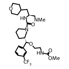 CNC[C@H](CC1CCOCC1)NC(=O)N1CCC[C@@H](C(OCCNC(=O)OC)c2cccc(C(F)(F)F)c2)C1